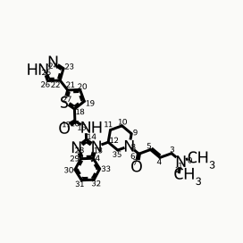 CN(C)CC=CC(=O)N1CCCC(n2c(NC(=O)c3ccc(-c4cn[nH]c4)s3)nc3ccccc32)C1